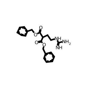 N=C(N)NCC[C](C(=O)OCc1ccccc1)C(=O)OCc1ccccc1